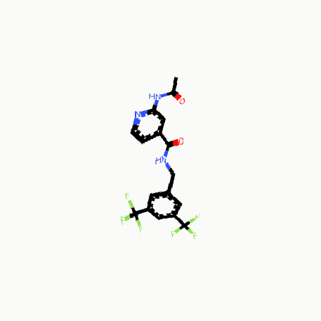 CC(=O)Nc1cc(C(=O)NCc2cc(C(F)(F)F)cc(C(F)(F)F)c2)ccn1